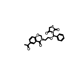 CC(=O)c1ccc2c(c1)C(=O)N(CCOC(c1ccccc1)N1C(=O)CSC1=O)CO2